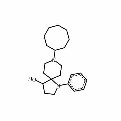 OC1CCN(c2ccccc2)C12CCN(C1CCCCCCC1)CC2